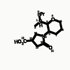 CCC[SiH](C)C1OCCCC1N1CC(C(=O)O)CC1=O